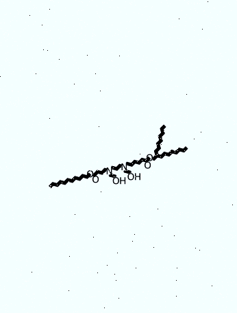 CCCCCCCCCCCOC(=O)CCCN(CCO)CCCN(CCO)CCCCCC(=O)OCC(CCCCCCCC)CCCCCCCC